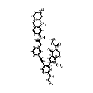 CCN1CCN(Cc2ccc(NC(=O)Cc3cccc(C#Cc4cnc(NCC(C)=O)nc4-c4cc5c(n4C)CCN(C(=O)OC(C)(C)C)C5=O)c3)cc2C(F)(F)F)CC1